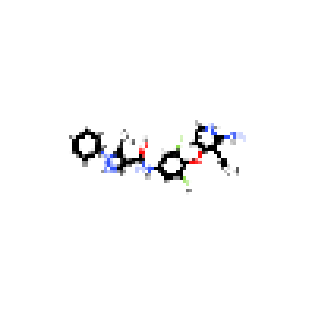 C#Cc1c(Oc2c(F)cc(NC(=O)c3cnn(-c4ccccc4)c3C(F)(F)F)cc2F)ccnc1N